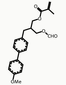 C=C(C)C(=O)OCC(COC=O)Cc1ccc(-c2ccc(OC)cc2)cc1